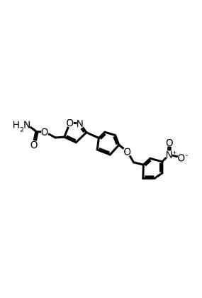 NC(=O)OCc1cc(-c2ccc(OCc3cccc([N+](=O)[O-])c3)cc2)no1